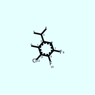 Cc1c(C(C)C)cc(F)c(F)c1Cl